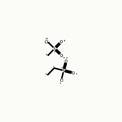 CCS(=O)(=O)Cl.CS(=O)(=O)Cl